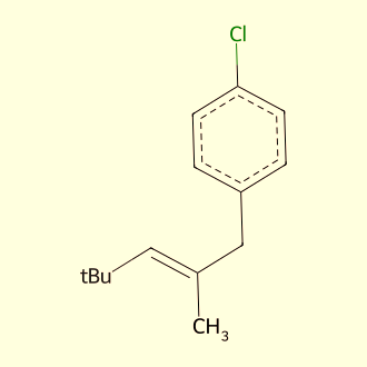 CC(=CC(C)(C)C)Cc1ccc(Cl)cc1